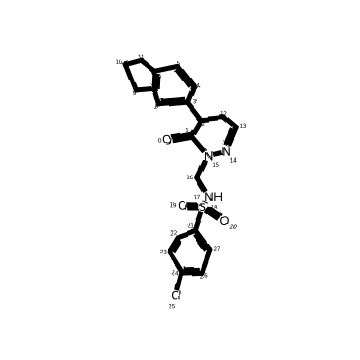 O=C1C(c2ccc3c(c2)CCC3)CC=NN1CNS(=O)(=O)c1ccc(Cl)cc1